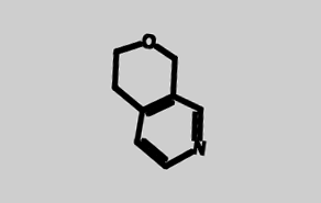 c1cc2c(cn1)COCC2